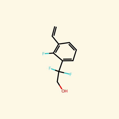 C=Cc1cccc(C(F)(F)CO)c1F